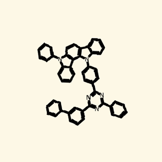 c1ccc(-c2cccc(-c3nc(-c4ccccc4)nc(-c4ccc(-n5c6ccccc6c6ccc7c(c8ccccc8n7-c7ccccc7)c65)cc4)n3)c2)cc1